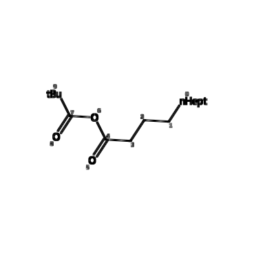 CCCCCCCCCCC(=O)OC(=O)C(C)(C)C